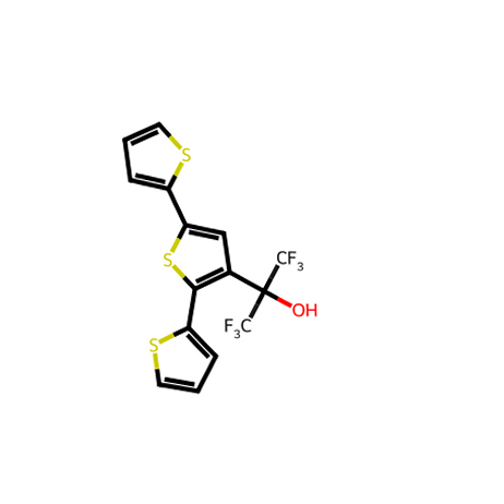 OC(c1cc(-c2cccs2)sc1-c1cccs1)(C(F)(F)F)C(F)(F)F